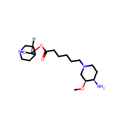 CO[C@H]1CN(CCCCCC(=O)O[C@H]2CN3CCC2CC3)CC[C@H]1N